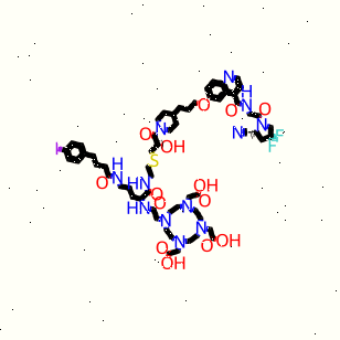 N#C[C@H]1CC(F)(F)CN1C(=O)CNC(=O)c1ccnc2ccc(OCCCC3CCN(C(=O)[C@H](O)CSCCNC(=O)C(CCCNC(=O)CCCc4ccc(I)cc4)NC(=O)CN4CCN(CC(=O)O)CCN(CC(=O)O)CCN(CC(=O)O)CC4)CC3)cc12